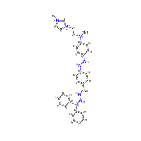 CCN(CC[n+]1ccn(C)c1)c1ccc(N=Nc2ccc(C=NN=C(c3ccccc3)c3ccccc3)cc2)cc1